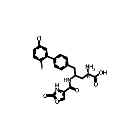 N[C@H](CC(Cc1ccc(-c2cc(Cl)ccc2F)cc1)NC(=O)c1coc(=O)[nH]1)C(=O)O